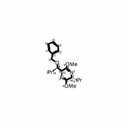 COC1=N[C@H](C(C)C)C(OC)=N[C@H]1[C@H](OCc1ccccc1)C(C)C